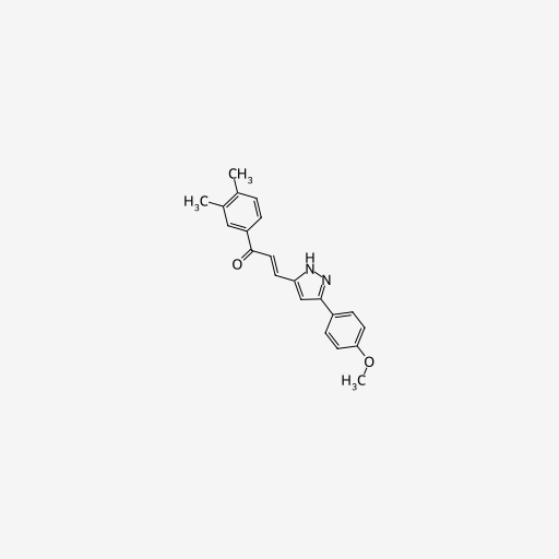 COc1ccc(-c2cc(C=CC(=O)c3ccc(C)c(C)c3)[nH]n2)cc1